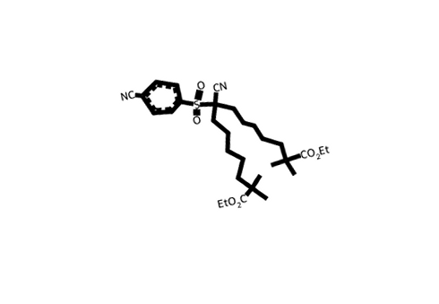 CCOC(=O)C(C)(C)CCCCCC(C#N)(CCCCCC(C)(C)C(=O)OCC)S(=O)(=O)c1ccc(C#N)cc1